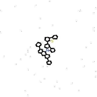 c1ccc(-c2ccc3c(-n4c5ccccc5c5cc(-c6cccc7c6sc6ccccc67)ccc54)c4cc(-c5ccccc5)ccc4cc3c2)cc1